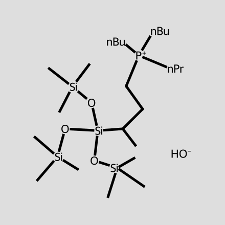 CCCC[P+](CCC)(CCCC)CCC(C)[Si](O[Si](C)(C)C)(O[Si](C)(C)C)O[Si](C)(C)C.[OH-]